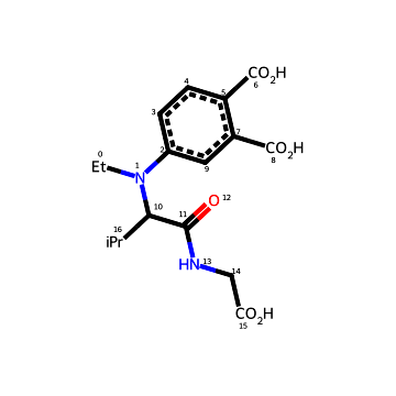 CCN(c1ccc(C(=O)O)c(C(=O)O)c1)C(C(=O)NCC(=O)O)C(C)C